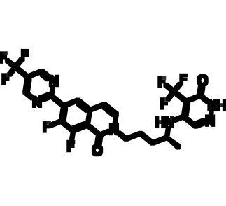 C[C@@H](CCCn1ccc2cc(-c3ncc(C(F)(F)F)cn3)c(F)c(F)c2c1=O)Nc1cn[nH]c(=O)c1C(F)(F)F